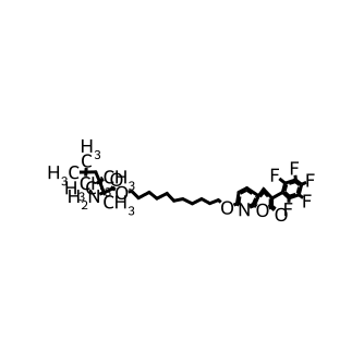 CC(C)(C)CC(C)(C)C(C)(N)C(=O)OCCCCCCCCCCCOc1ccc2cc(-c3c(F)c(F)c(F)c(F)c3F)c(=O)oc2n1